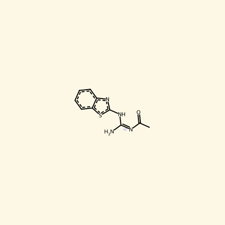 CC(=O)/N=C(/N)Nc1nc2ccccc2s1